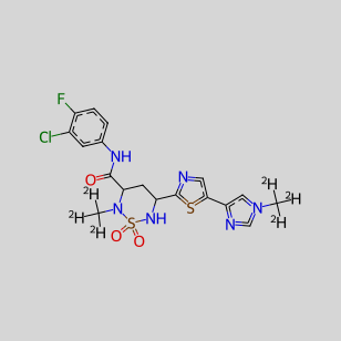 [2H]C([2H])([2H])N1C(C(=O)Nc2ccc(F)c(Cl)c2)CC(c2ncc(-c3cn(C([2H])([2H])[2H])cn3)s2)NS1(=O)=O